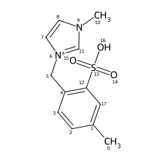 Cc1ccc(C[n+]2ccn(C)c2)c(S(=O)(=O)O)c1